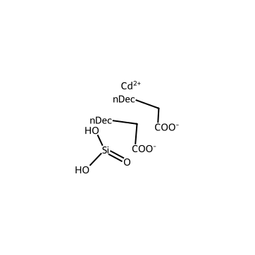 CCCCCCCCCCCC(=O)[O-].CCCCCCCCCCCC(=O)[O-].O=[Si](O)O.[Cd+2]